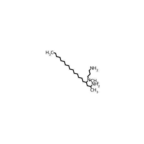 CCCCCCCCCCCCCCCC(CC(C)N)N(C)CCCN